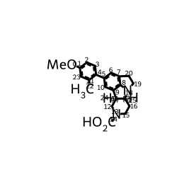 COc1ccc(-c2cc3c4c(c2)[C@@H]2CN(C(=O)O)CC[C@@H]2N4CC3)c(C)c1